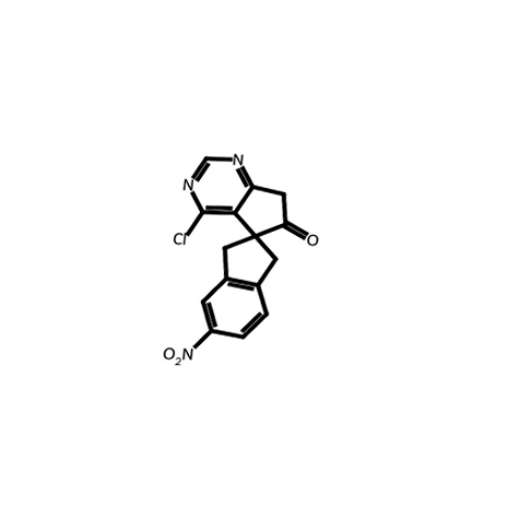 O=C1Cc2ncnc(Cl)c2C12Cc1ccc([N+](=O)[O-])cc1C2